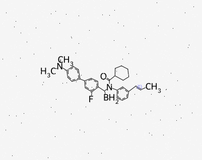 BC(c1ccc(-c2ccc(N(C)C)cc2)cc1F)N(C(=O)C1CCCCC1)c1cccc(/C=C/C)c1